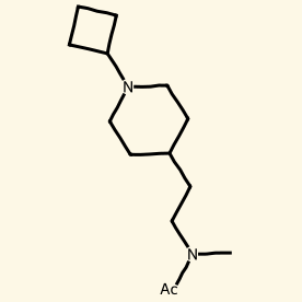 CC(=O)N(C)CCC1CCN(C2CCC2)CC1